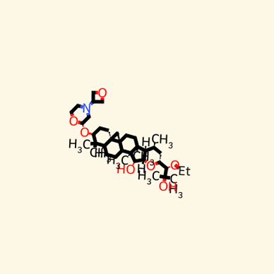 CCO[C@@H]([C@H]1C[C@@H](C)[C@H]2[C@H](O1)[C@H](O)[C@@]1(C)C3CC[C@H]4C(C)(C)[C@@H](O[C@H]5CN(C6COC6)CCO5)CC[C@@]45C[C@@]35CC[C@]21C)C(C)(C)O